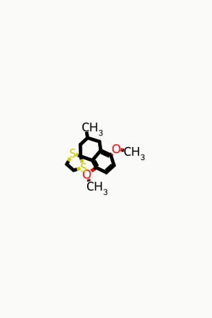 COc1ccc(OC)c2c1CC(C)CC21SCCS1